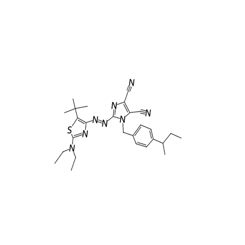 CCC(C)c1ccc(Cn2c(/N=N/c3nc(N(CC)CC)sc3C(C)(C)C)nc(C#N)c2C#N)cc1